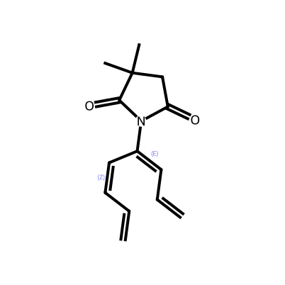 C=C/C=C\C(=C/C=C)N1C(=O)CC(C)(C)C1=O